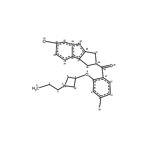 CCCN1CC(Oc2cc(F)ccc2C(=O)N2Cc3nn4cc(Cl)cnc4c3C2)C1